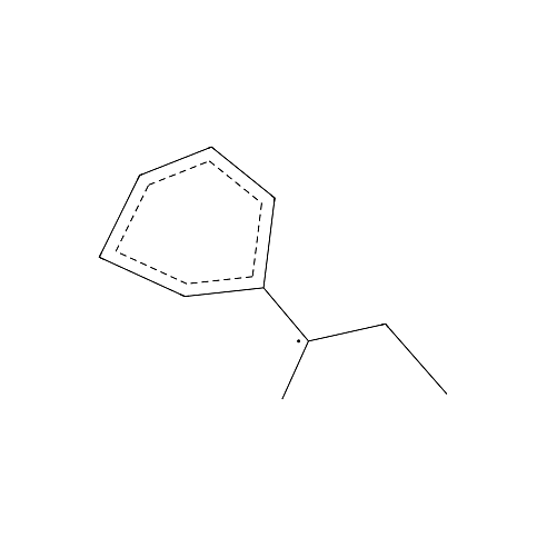 CC[C](C)c1ccccc1